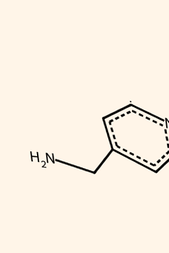 NCc1c[c]ncc1